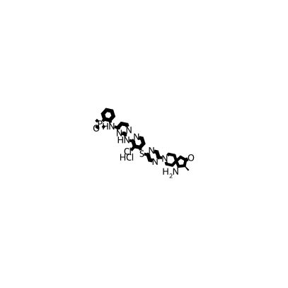 C[C@@H]1C(=O)CC2(CCN(c3cnc(Sc4ccnc(Nc5nccc(Nc6ccccc6P(C)(C)=O)n5)c4Cl)cn3)CC2)[C@H]1N.Cl